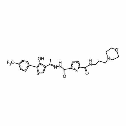 C/C(=N\NC(=O)c1ccc(C(=O)NCCCN2CCOCC2)s1)c1csc(-c2ccc(C(F)(F)F)cc2)c1O